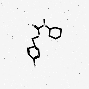 CN(C(=O)SCc1ccc(Cl)cc1)C1CCCCC1